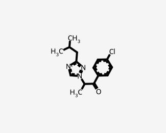 CC(C)Cc1ncn(C(C)C(=O)c2ccc(Cl)cc2)n1